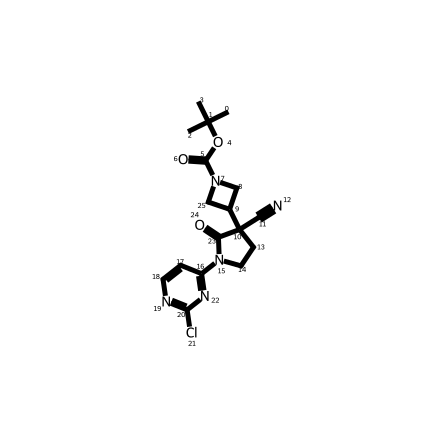 CC(C)(C)OC(=O)N1CC(C2(C#N)CCN(c3ccnc(Cl)n3)C2=O)C1